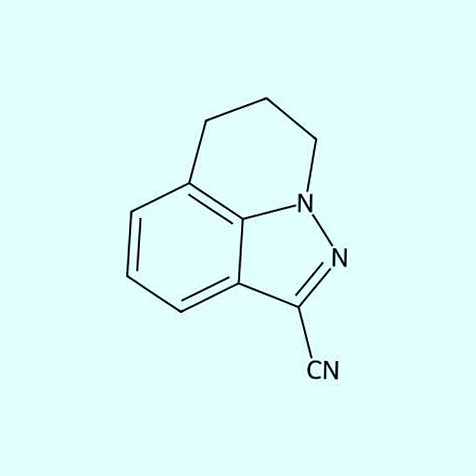 N#Cc1nn2c3c(cccc13)CCC2